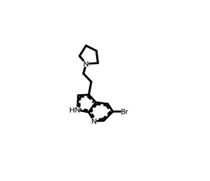 Brc1cnc2[nH]cc(CCN3CCCC3)c2c1